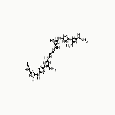 C/C=N/Nc1n[nH]c(Nc2nnc(-n3nc(N/N=C/C=N/Nc4n[nH]c(Nc5nnc(-n6nc(NN)nc6N)nn5)n4)nc3N)nn2)n1